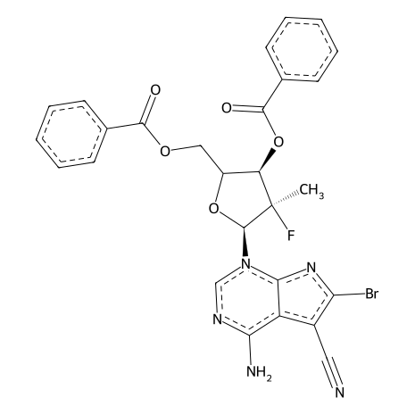 C[C@@]1(F)[C@H](OC(=O)c2ccccc2)C(COC(=O)c2ccccc2)O[C@@H]1n1cnc(N)c2c(C#N)c(Br)nc1-2